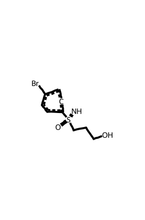 N=S(=O)(CCCO)c1ccc(Br)cc1